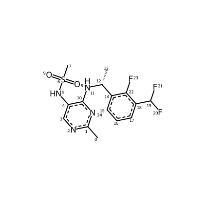 Cc1ncc(NS(C)(=O)=O)c(N[C@H](C)c2cccc(C(F)F)c2F)n1